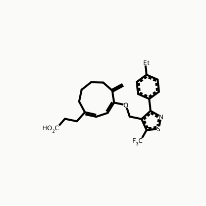 C=C1CCCC/C(CCC(=O)O)=C\C=C/1OCc1c(-c2ccc(CC)cc2)nsc1C(F)(F)F